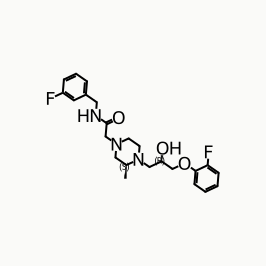 C[C@H]1CN(CC(=O)NCc2cccc(F)c2)CCN1C[C@@H](O)COc1ccccc1F